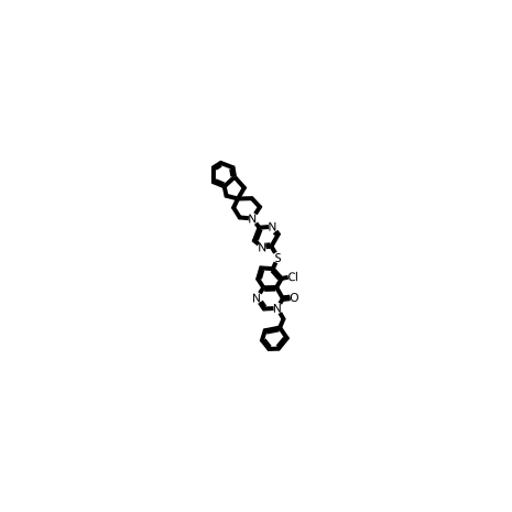 O=c1c2c(Cl)c(Sc3cnc(N4CCC5(CC4)Cc4ccccc4C5)cn3)ccc2ncn1Cc1ccccc1